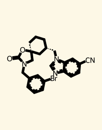 N#Cc1ccc2ncn(C[C@H]3CCC[C@]4(C3)CN(Cc3cccc(Br)c3)C(=O)O4)c2c1